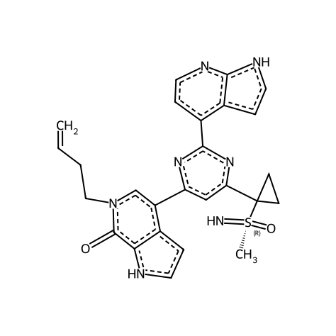 C=CCCn1cc(-c2cc(C3([S@](C)(=N)=O)CC3)nc(-c3ccnc4[nH]ccc34)n2)c2cc[nH]c2c1=O